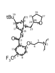 CN(C)CCOc1ccc(C(F)(F)F)cc1C(=O)N=c1cc(C(C)(C)C)n(C)n1C[C@H]1CCCO1